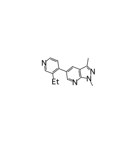 CCc1cnccc1-c1cnc2c(c1)c(C)nn2C